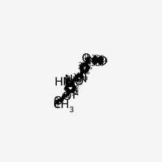 COCCOc1cc2[nH]nc(-c3cc(-c4ccc(C(=O)N5CC6(COC6)C5)cc4)no3)c2cc1F